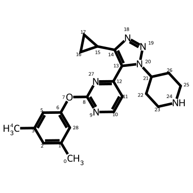 Cc1cc(C)cc(Oc2nccc(-c3c(C4CC4)nnn3C3CCNCC3)n2)c1